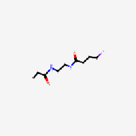 CCC(=O)NCCNC(=O)CCCI